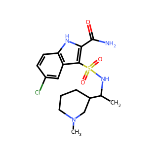 CC(NS(=O)(=O)c1c(C(N)=O)[nH]c2ccc(Cl)cc12)C1CCCN(C)C1